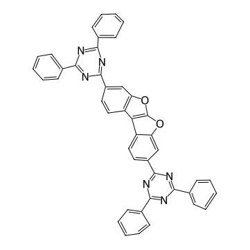 c1ccc(-c2nc(-c3ccccc3)nc(-c3ccc4c(c3)oc3oc5cc(-c6nc(-c7ccccc7)nc(-c7ccccc7)n6)ccc5c34)n2)cc1